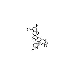 Cc1nc(F)ccc1-c1cc(Cn2ccn(C)c2=N)cc2c1OCC(Cc1ccc(F)cc1Cl)C2=O